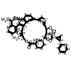 CCO[C@@H]1c2nc(cs2)-c2ccc3c(c2)c(c(-c2cccnc2[C@H](C)OC)n3CC)CC(C)(C)COC(=O)[C@@H]2CCCN(N2)C(=O)[C@H]1NC(=O)[C@@H]1C[C@@H]1c1ccccn1